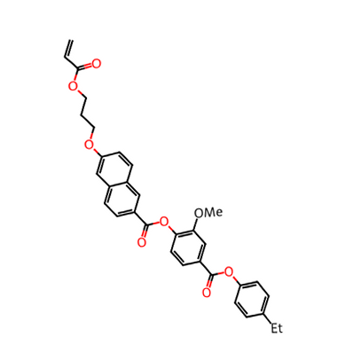 C=CC(=O)OCCCOc1ccc2cc(C(=O)Oc3ccc(C(=O)Oc4ccc(CC)cc4)cc3OC)ccc2c1